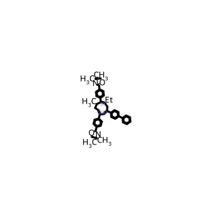 CC/C1=C(\c2ccc(C3=NC(C)(C)CO3)cc2)C(C)C/C=C(c2ccc(C3=NC(C)(C)CO3)cc2)/C=C(/c2ccc(-c3ccccc3)cc2)C1